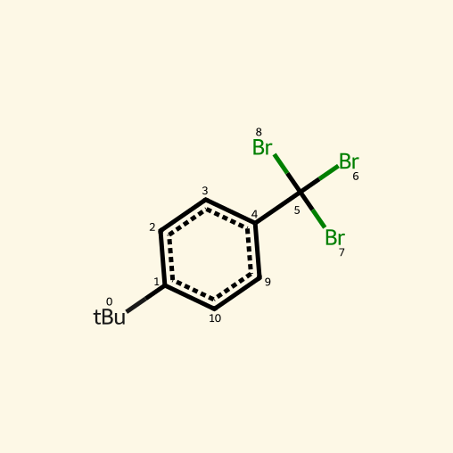 CC(C)(C)c1ccc(C(Br)(Br)Br)cc1